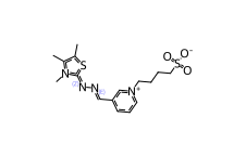 Cc1s/c(=N\N=C\c2ccc[n+](CCCCS(=O)(=O)[O-])c2)n(C)c1C